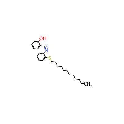 CCCCCCCCCCCCSc1ccccc1/N=C\c1ccccc1O